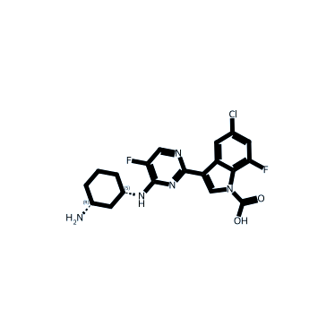 N[C@@H]1CCC[C@H](Nc2nc(-c3cn(C(=O)O)c4c(F)cc(Cl)cc34)ncc2F)C1